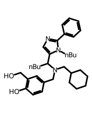 CCCCC(c1cnc(-c2ccccc2)n1CCCC)N(Cc1ccc(O)c(CO)c1)CC1CCCCC1